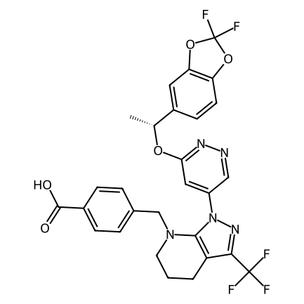 C[C@@H](Oc1cc(-n2nc(C(F)(F)F)c3c2N(Cc2ccc(C(=O)O)cc2)CCC3)cnn1)c1ccc2c(c1)OC(F)(F)O2